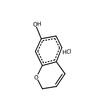 Cl.Oc1ccc2c(c1)OCC=C2